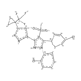 CS(=O)(=O)c1c(-c2nnc(C3(C(F)(F)F)CC3)o2)nn(-c2ccccc2Cl)c1C1C=CC(Cl)=CC1